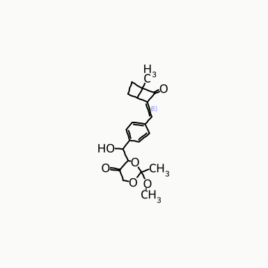 COC1(C)OCC(=O)C(C(O)c2ccc(/C=C3/C(=O)C4(C)CCC34)cc2)O1